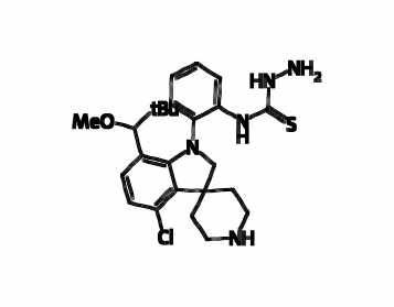 COC(c1ccc(Cl)c2c1N(c1ccccc1NC(=S)NN)CC21CCNCC1)C(C)(C)C